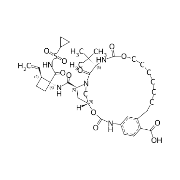 C=C[C@@H]1CC[C@]1(NC(=O)[C@@H]1C[C@@H]2CN1C(=O)[C@H](C(C)(C)C)NC(=O)OCCCCCCCc1cc(ccc1C(=O)O)NC(=O)O2)C(=O)NS(=O)(=O)C1CC1